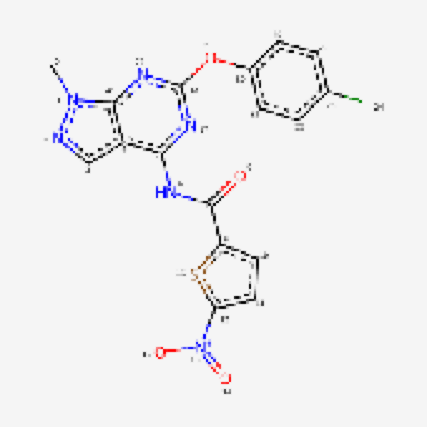 Cn1ncc2c(NC(=O)c3ccc([N+](=O)[O-])s3)nc(Oc3ccc(F)cc3)nc21